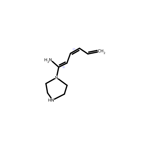 C=C/C=C\C=C(/N)N1CCNCC1